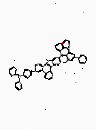 Fc1cc(-c2ccccc2)cc(-c2ccccc2)c1N(c1ccccc1)c1ccc2c(c1)sc1c3ccc(-c4ccc(N(c5ccccc5)c5ccccc5)cc4)cc3c3ccccc3c21